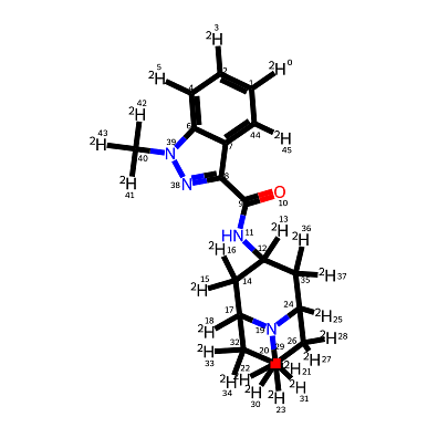 [2H]c1c([2H])c([2H])c2c(c(C(=O)NC3([2H])C([2H])([2H])C4([2H])N(C([2H])([2H])[2H])C([2H])(C([2H])([2H])C([2H])([2H])C4([2H])[2H])C3([2H])[2H])nn2C([2H])([2H])[2H])c1[2H]